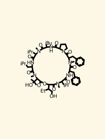 CCC(C)C1NC(=O)C2CCCN2C(=O)C(Cc2ccccc2)N(C)C(=O)C(Cc2ccccc2)NC(=O)C(C(C)C)N(C)C(=O)C(C(CC)CO)OC(=O)C(C(C)(C)O)N(C)C(=O)C(CC(C)C)NC(=O)C(C(C)C)N(C)C1=O